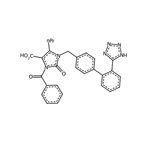 CCCc1c(C(=O)O)n(C(=O)c2ccccc2)c(=O)n1Cc1ccc(-c2ccccc2-c2nnn[nH]2)cc1